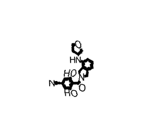 N#Cc1cc(O)c(C(=O)N2Cc3cccc(N[C@@H]4CCOC4)c3C2)c(O)c1